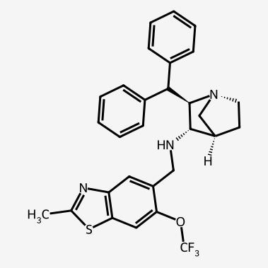 Cc1nc2cc(CN[C@H]3[C@@H]4CC[N@](C4)[C@@H]3C(c3ccccc3)c3ccccc3)c(OC(F)(F)F)cc2s1